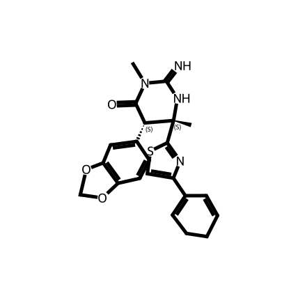 CN1C(=N)N[C@](C)(c2nc(C3=CCCC=C3)cs2)[C@H](c2ccc3c(c2)OCO3)C1=O